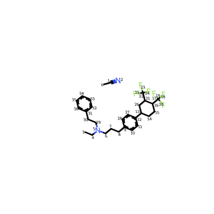 CC#N.CCN(CCCc1ccc(C2CCC(C(F)(F)F)C(C(F)(F)F)C2)cc1)CCc1ccccc1